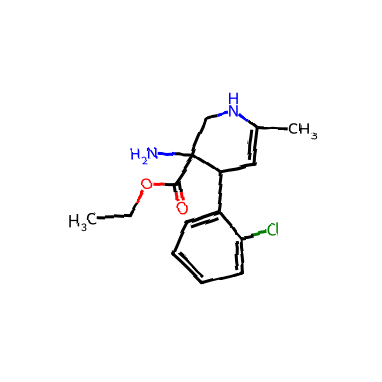 CCOC(=O)C1(N)CNC(C)=CC1c1ccccc1Cl